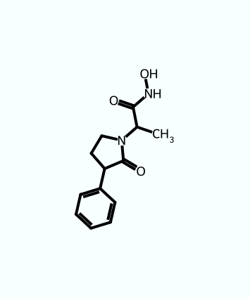 CC(C(=O)NO)N1CCC(c2ccccc2)C1=O